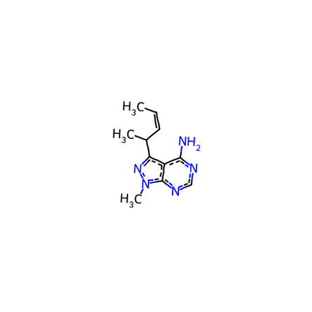 C/C=C\C(C)c1nn(C)c2ncnc(N)c12